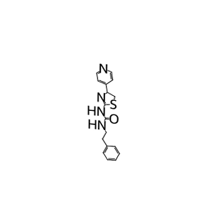 O=C(NCCc1ccccc1)NC1=NC(c2ccncc2)CS1